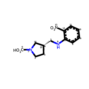 O=C(O)N1CC[C@@H](CNc2ccccc2[N+](=O)[O-])C1